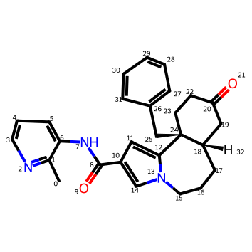 Cc1ncccc1NC(=O)c1cc2n(c1)CCC[C@H]1CC(=O)CC[C@@]21Cc1ccccc1